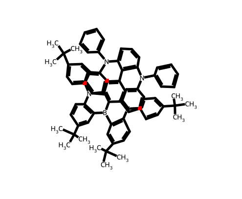 CC(C)(C)c1ccc(N2c3ccc(C(C)(C)C)cc3B3c4cc(C(C)(C)C)ccc4N(c4ccc(C(C)(C)C)cc4)c4cc(-c5c(N(c6ccccc6)c6ccccc6)cccc5N(c5ccccc5)c5ccccc5)cc2c43)cc1